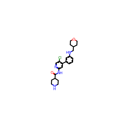 O=C(Nc1cc(-c2cccc(NCC3CCOCC3)c2)c(Cl)cn1)C1CCNCC1